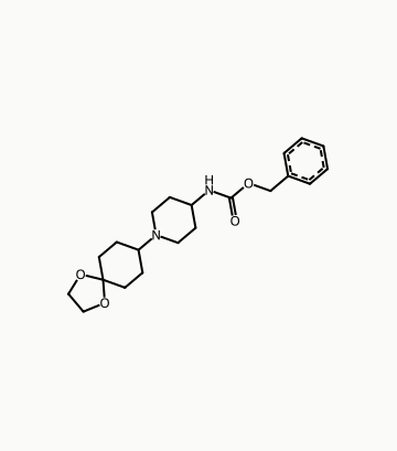 O=C(NC1CCN(C2CCC3(CC2)OCCO3)CC1)OCc1ccccc1